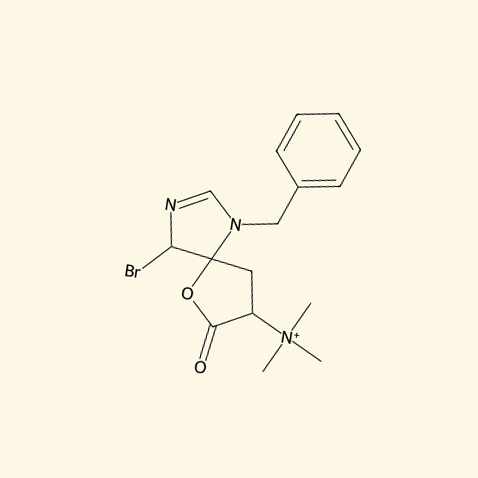 C[N+](C)(C)C1CC2(OC1=O)C(Br)N=CN2Cc1ccccc1